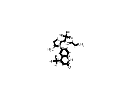 CCCO[C@H]([C@H]1CC[C@H](C)N1c1ccc2[nH]c(=O)cc(C(F)(F)F)c2c1)C(F)(F)F